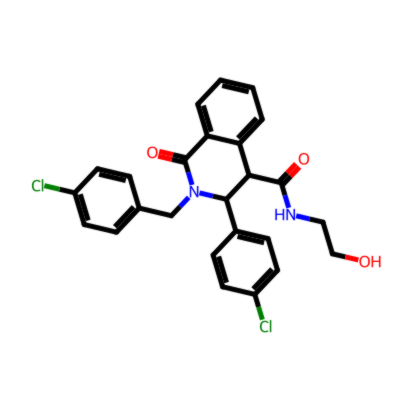 O=C(NCCO)C1c2ccccc2C(=O)N(Cc2ccc(Cl)cc2)C1c1ccc(Cl)cc1